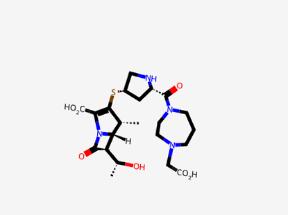 C[C@@H](O)[C@H]1C(=O)N2C(C(=O)O)=C(S[C@@H]3CN[C@H](C(=O)N4CCCN(CC(=O)O)CC4)C3)[C@H](C)[C@H]12